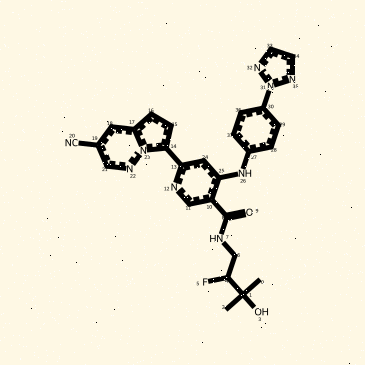 CC(C)(O)C(F)CNC(=O)c1cnc(-c2ccc3cc(C#N)cnn23)cc1Nc1ccc(-n2nccn2)cc1